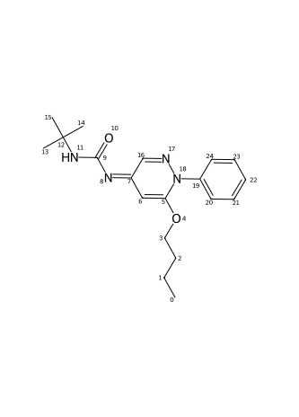 CCCCOc1cc(=NC(=O)NC(C)(C)C)cnn1-c1ccccc1